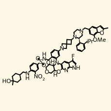 COc1cc(CN2CCN(C3CC4(C3)CN(c3ccc(C(=O)NS(=O)(=O)c5ccc(NCC6CCC(C)(O)CC6)c([N+](=O)[O-])c5)c(N5c6cc7c(F)c[nH]c7nc6O[C@H]6COCC[C@@H]65)c3)C4)[C@H](c3ccccc3C(C)C)C2)cc2cc(C)oc12